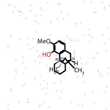 COc1ccc2c(c1O)[C@@]13CCCCC1[C@@H](C2)C(C)C[C@@H]3C